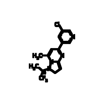 CC1=CC(c2cncc(Cl)c2)=NC2=CCN([C@@H](C)C(F)(F)F)N12